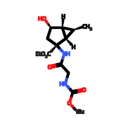 CCOC(=O)[C@]1(NC(=O)CNC(=O)OC(C)(C)C)C[C@H](O)[C@H]2[C@H](C)[C@H]21